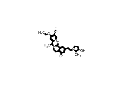 [C-]#[N+]c1cnc(C(C)N2CCc3c(Br)cc(CCN4CC[C@@H](O)[C@H]4C)cc3C2=O)cc1OCC